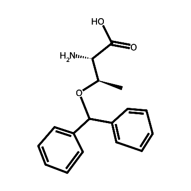 C[C@@H](OC(c1ccccc1)c1ccccc1)[C@H](N)C(=O)O